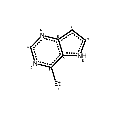 CCc1ncnc2cc[nH]c12